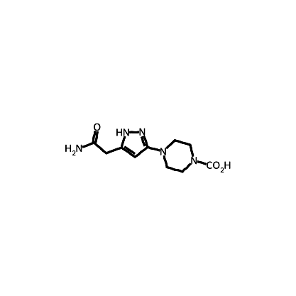 NC(=O)Cc1cc(N2CCN(C(=O)O)CC2)n[nH]1